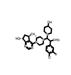 C[C@@H]1C[C@@H](O)c2ncnc(N3CCN(C(C(C=O)c4ccc(Cl)c(F)c4)N4CCC(O)CC4)CC3)c21